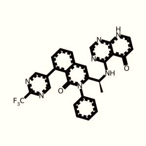 C[C@H](Nc1ncnc2[nH]ccc(=O)c12)c1cc2cccc(-c3cnc(C(F)(F)F)nc3)c2c(=O)n1-c1ccccc1